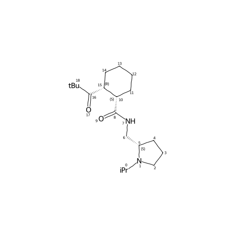 CC(C)N1CCC[C@H]1CNC(=O)[C@H]1CCCC[C@H]1C(=O)C(C)(C)C